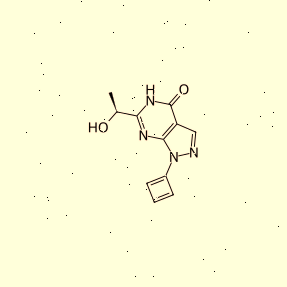 C[C@H](O)c1nc2c(cnn2C2=CC=C2)c(=O)[nH]1